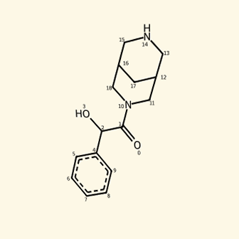 O=C(C(O)c1ccccc1)N1CC2CNCC(C2)C1